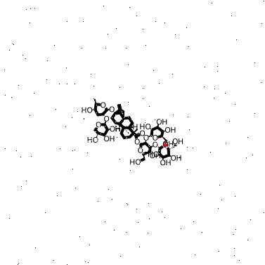 C=C1C[C@@]23CC[C@H]4[C@@](C)(CCC[C@@]4(C)C(=O)OC4O[C@H](CO)[C@@H](O)[C@H](O[C@@H]5O[C@H](CO)[C@@H](O)[C@H](O)[C@H]5O)[C@H]4O[C@@H]4O[C@H](CO)[C@@H](O)[C@H](O)[C@H]4O)[C@@H]2CC[C@]1(O[C@@H]1O[C@H](C)[C@@H](O)C[C@H]1O[C@@H]1OC[C@@H](O)[C@H](O)[C@H]1O)C3